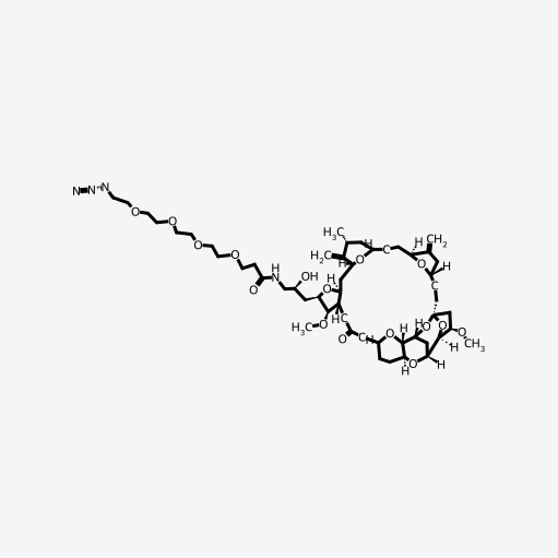 C=C1C[C@@H]2CC[C@]34C[C@@H](OC)[C@H](O3)[C@H]3C[C@@H](O4)[C@H]4O[C@H](CC[C@@H]4O3)CC(=O)C[C@@H]3[C@@H](OC)[C@@H](C[C@H](O)CNC(=O)CCOCCOCCOCCOCCN=[N+]=[N-])O[C@H]3C[C@H]3O[C@@H](CC[C@@H]1O2)C[C@@H](C)C3=C